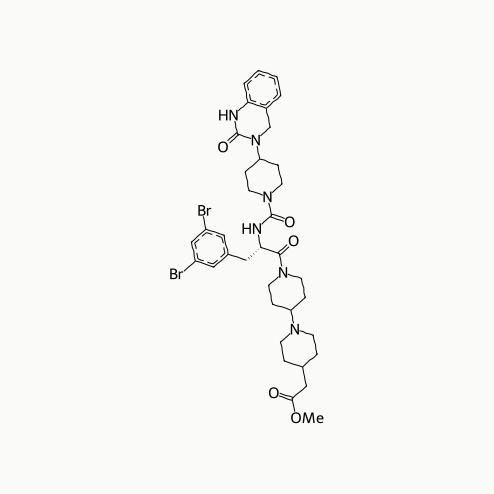 COC(=O)CC1CCN(C2CCN(C(=O)[C@H](Cc3cc(Br)cc(Br)c3)NC(=O)N3CCC(N4Cc5ccccc5NC4=O)CC3)CC2)CC1